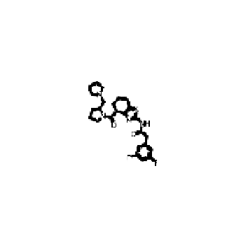 O=C(Cc1cc(F)cc(F)c1)Nc1nc2c(s1)CCCC2C(=O)N1CCCC1CN1CCCC1